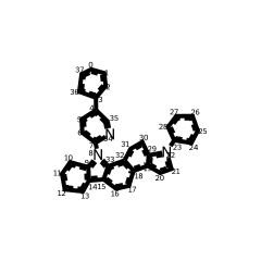 c1ccc(-c2ccc(-n3c4ccccc4c4ccc5c6ccn(-c7ccccc7)c6ccc5c43)nc2)cc1